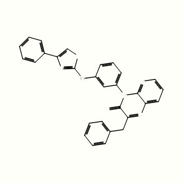 O=c1c(Cc2ccccc2)nc2cccnc2n1-c1cccc(Nc2nc(-c3ccccc3)cs2)c1